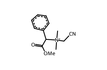 COC(=O)C(c1ccccc1)[N+](C)(C)CC#N